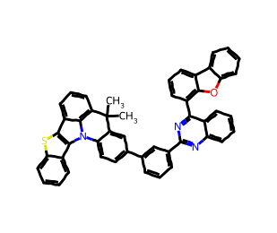 CC1(C)c2cc(-c3cccc(-c4nc(-c5cccc6c5oc5ccccc56)c5ccccc5n4)c3)ccc2-n2c3c1cccc3c1sc3ccccc3c12